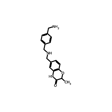 CC1Oc2ccc(CNCc3ccc(CN)cc3)cc2NC1=O